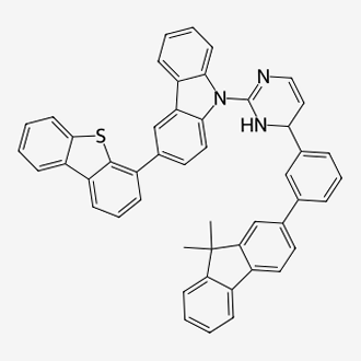 CC1(C)c2ccccc2-c2ccc(-c3cccc(C4C=CN=C(n5c6ccccc6c6cc(-c7cccc8c7sc7ccccc78)ccc65)N4)c3)cc21